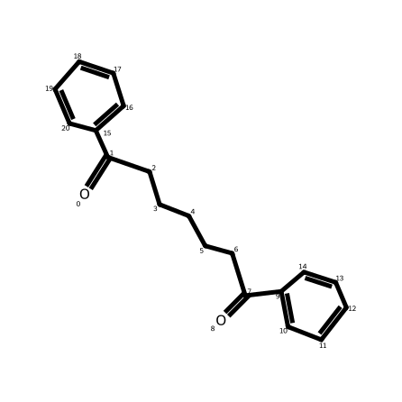 O=C(CCCCCC(=O)c1ccccc1)c1ccccc1